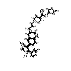 Cc1cccc(-c2[nH]cnc2-c2ccc3ncc(NCCN4CCC(C(=O)O[C@@H]5CCN(C)C5)CC4)cc3c2)n1